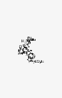 CCOC(=O)CN1CCN(c2ccc(N(CCO[Si](C)(C)C(C)(C)C)C(=O)c3c(Cl)ncnc3Cl)cc2CC)C1=O